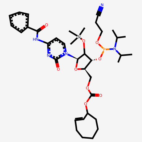 CC(C)N(C(C)C)P(OCCC#N)O[C@H]1C(O[Si](C)(C)C)[C@H](n2ccc(NC(=O)c3ccccc3)nc2=O)O[C@@H]1COC(=O)OC1/C=C/CCCCC1